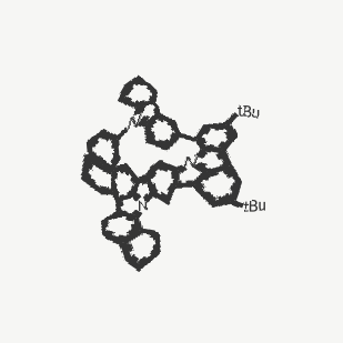 CC(C)(C)c1cc(-c2ccc3c(c2)c2ccccc2n3-c2ccccc2)c2c(c1)c1cc(C(C)(C)C)cc3c4cc5c(cc4n2c31)c1cc2ccccc2c2c3ccc4ccccc4c3n5c12